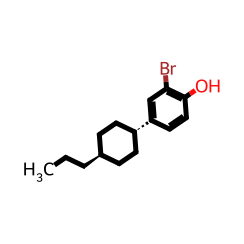 CCC[C@H]1CC[C@H](c2ccc(O)c(Br)c2)CC1